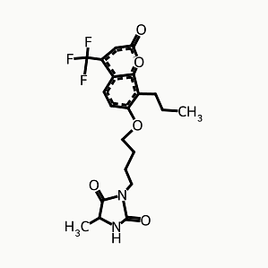 CCCc1c(OCCCCN2C(=O)NC(C)C2=O)ccc2c(C(F)(F)F)cc(=O)oc12